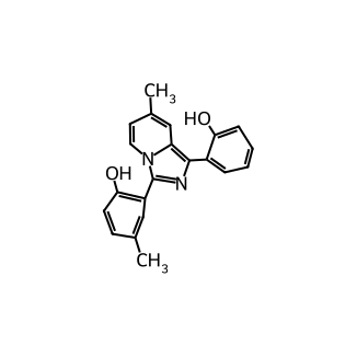 Cc1ccc(O)c(-c2nc(-c3ccccc3O)c3cc(C)ccn23)c1